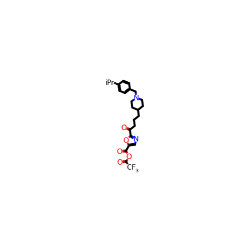 CC(C)c1ccc(CN2CCC(CCCC(=O)c3ncc(C(=O)OC(=O)C(F)(F)F)o3)CC2)cc1